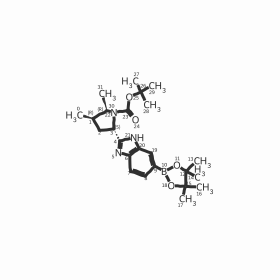 C[C@@H]1C[C@@H](c2nc3ccc(B4OC(C)(C)C(C)(C)O4)cc3[nH]2)N(C(=O)OC(C)(C)C)[C@@H]1C